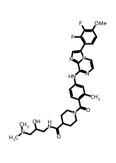 COc1ccc(-c2cnc3c(Nc4ccc(C(=O)N5CCC(C(=O)NCC(O)CN(C)C)CC5)c(C)c4)nccn23)c(F)c1F